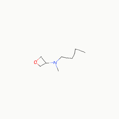 CCCCN(C)C1COC1